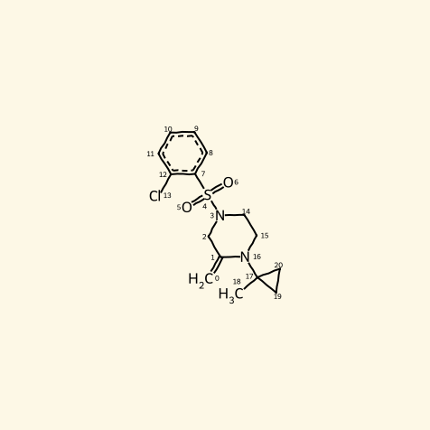 C=C1CN(S(=O)(=O)c2ccccc2Cl)CCN1C1(C)CC1